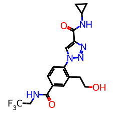 O=C(NCC(F)(F)F)c1ccc(-n2cc(C(=O)NC3CC3)nn2)c(CCO)c1